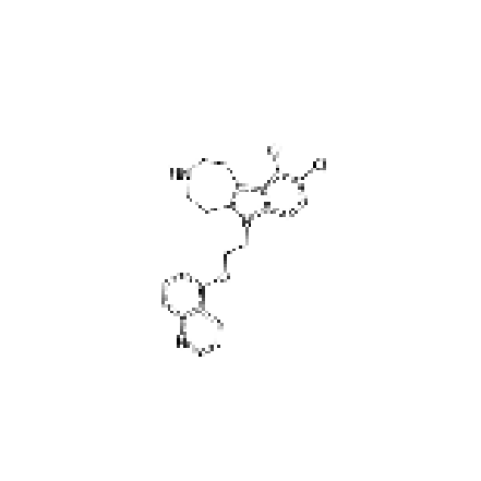 Clc1ccc2c(c1Cl)c1c(n2CCOc2cccc3ncccc23)CCNCC1